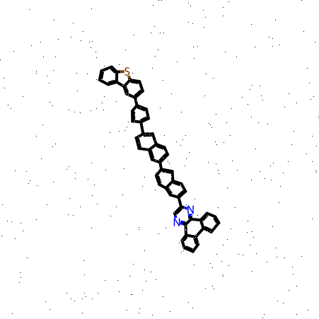 c1ccc2c(c1)sc1ccc(-c3ccc(-c4ccc5cc(-c6ccc7cc(-c8cnc9c%10ccccc%10c%10ccccc%10c9n8)ccc7c6)ccc5c4)cc3)cc12